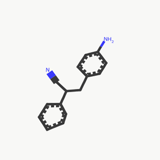 N#CC(Cc1ccc(N)cc1)c1ccccc1